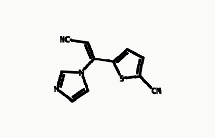 N#CC=C(c1ccc(C#N)s1)n1ccnc1